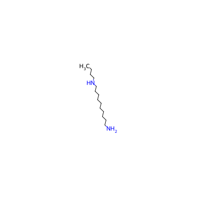 CCCCNCCCCCCCCCCN